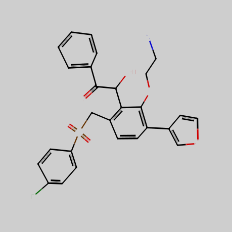 NCCOc1c(-c2ccoc2)ccc(CS(=O)(=O)c2ccc(F)cc2)c1C(O)C(=O)c1ccccc1